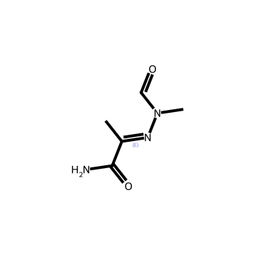 C/C(=N\N(C)C=O)C(N)=O